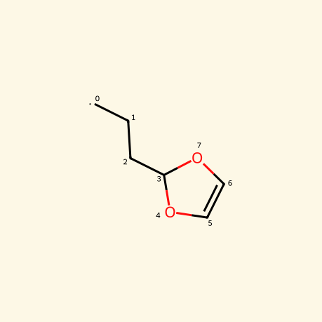 [CH2]CCC1OC=CO1